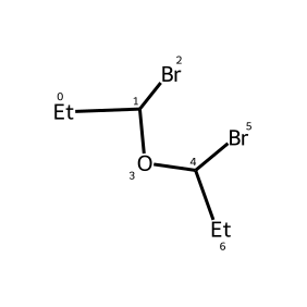 CCC(Br)OC(Br)CC